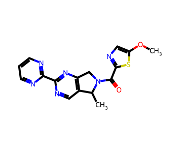 COc1cnc(C(=O)N2Cc3nc(-c4ncccn4)ncc3C2C)s1